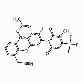 CC(=O)OOc1cccc(CC#N)c1Oc1cc(-n2c(=O)cc(C(F)(F)F)n(C)c2=O)c(F)cc1Cl